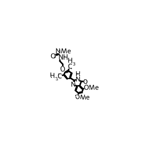 CNC(=O)NCCOc1c(C)cc(-c2nc3cc(OC)cc(OC)c3c(=O)[nH]2)cc1C